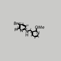 COc1ncccc1CNc1ccc(Br)c(F)n1